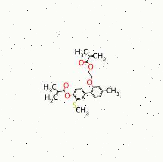 C=C(C)C(=O)OCCOc1cc(C)ccc1-c1ccc(OC(=O)C(=C)C)c(SC)c1